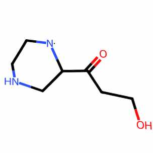 O=C(CCO)C1CNCC[N]1